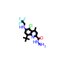 Cc1cc(C(=O)NN)nc2c(C(C)(C)C)cc(NCC(F)(F)F)c(Cl)c12